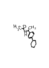 C=C(NC(C)=O)c1ccc(C2CCCCC2)cc1